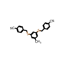 Cc1cc(SCc2ccc(C#N)cc2)cc(SCc2ccc(C#N)cc2)c1